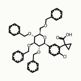 O=C(O)C1(c2cc([C@@H]3O[C@H](COCc4ccccc4)[C@@H](OCc4ccccc4)[C@H](OCc4ccccc4)[C@H]3OCc3ccccc3)ccc2Cl)CC1